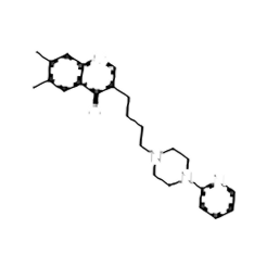 Cc1cc2occ(CCCCN3CCN(c4ccccn4)CC3)c(=O)c2cc1C